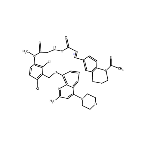 CC(=O)N1CCCc2cc(/C=C/C(=O)ONCC(=O)N(C)c3ccc(Cl)c(COc4cccc5c(N6CCOCC6)cc(C)nc45)c3Cl)ccc21